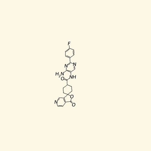 Nc1nc(-c2ccc(F)cc2)ncc1NC(=O)C1CCC2(CC1)OC(=O)c1ccncc12